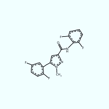 Cn1nc(C(=O)Nc2c(F)cccc2F)cc1-c1cc(F)ccc1F